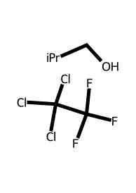 CC(C)CO.FC(F)(F)C(Cl)(Cl)Cl